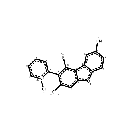 Cc1cc2oc3ccc(C#N)cc3c2c(F)c1-c1cccc[n+]1C